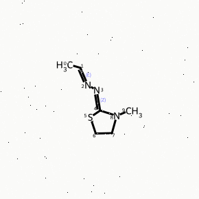 C/C=N/N=C1\SCCN1C